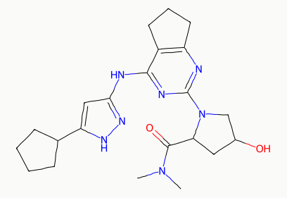 CN(C)C(=O)C1CC(O)CN1c1nc2c(c(Nc3cc(C4CCCC4)[nH]n3)n1)CCC2